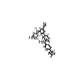 Cc1ncn(-c2ccc(Nc3nccc(-c4cc(C#N)cc(N(C)C5CCNCC5)c4)n3)cc2)n1